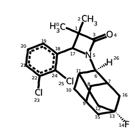 CC1(C)C(=O)N([C@H]2C3CC4CC2C[C@](F)(C4)C3)C1c1cccc(Cl)c1Cl